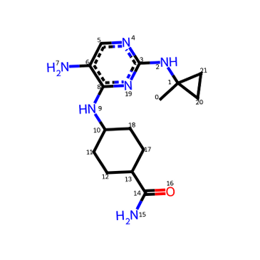 CC1(Nc2ncc(N)c(NC3CCC(C(N)=O)CC3)n2)CC1